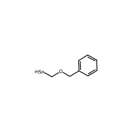 [SnH][CH2]OCc1ccccc1